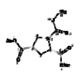 COC(=O)[C@H]1C[C@@H](C(=O)OC)N(C(=O)OC(C)(C)C)C1